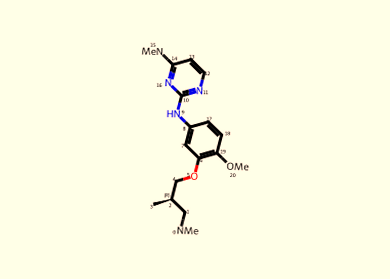 CNC[C@@H](C)COc1cc(Nc2nccc(NC)n2)ccc1OC